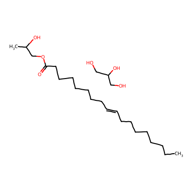 CCCCCCCCC=CCCCCCCCC(=O)OCC(C)O.OCC(O)CO